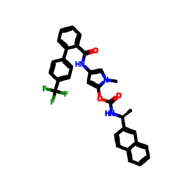 C[C@H](NC(=O)Oc1cc(NC(=O)c2ccccc2-c2ccc(C(F)(F)F)cc2)cn1C)c1ccc2ccccc2c1